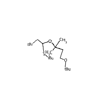 CC(C)(C)CC(OC(C)(C)CCOC(C)(C)C)SC(C)(C)C